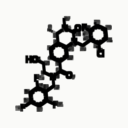 C[C@H]1c2ccc(C(=O)N(CCO)Cc3c(F)cc(F)cc3F)cc2N(Cc2c(F)cccc2Cl)C(=O)N1C